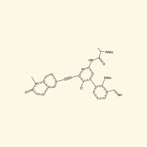 CNc1c(C=N)cccc1-c1cc(NC(=O)C(C)NC)nc(C#Cc2ccc3c(ccc(=O)n3C)c2)c1Cl